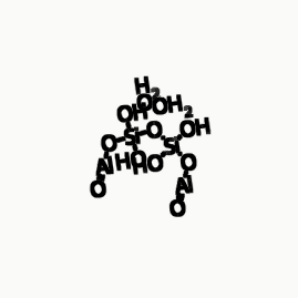 O.O.[O]=[Al][O][Si](O)(O)O[Si](O)(O)[O][Al]=[O]